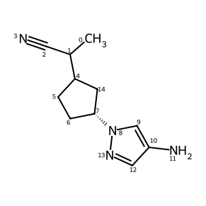 CC(C#N)C1CC[C@@H](n2cc(N)cn2)C1